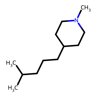 CC(C)CCCC1CCN(C)CC1